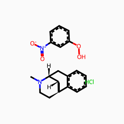 CN1CC[C@]23CCCC[C@H]2[C@H]1Cc1ccccc13.Cl.O=[N+]([O-])c1cccc(OO)c1